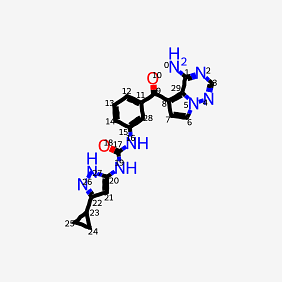 Nc1ncnn2ccc(C(=O)c3cccc(NC(=O)Nc4cc(C5CC5)n[nH]4)c3)c12